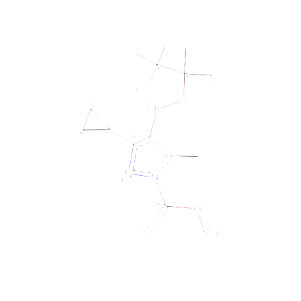 Cc1c(B2OC(C)(C)C(C)(C)O2)c(C2CC2)nn1C(=O)OC(C)(C)C